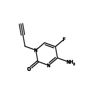 C#CCn1cc(F)c(N)nc1=O